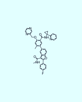 CNC(=O)c1c(-c2ccc(F)cc2)oc2ccc(-c3cc(C(=O)NC4(c5ccccn5)CC4)c(OCc4cnccn4)cc3C)cc12